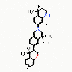 CC1(C)CN(c2ccc3c(c2)NCCC3(C)C)Cc2ccc(C3COc4ccccc4C3(C)C)cc21